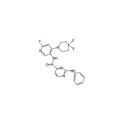 O=C(Nc1cnc(F)cc1N1CCC(F)(F)CC1)c1ccnc(Nc2ccccc2)n1